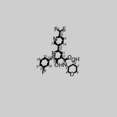 O=C(N[C@H]1COCC[C@H]1O)c1cc(-c2ccc(C(F)F)nc2)nn(-c2cccc(F)c2)c1=O